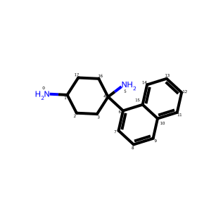 NC1CCC(N)(c2cccc3ccccc23)CC1